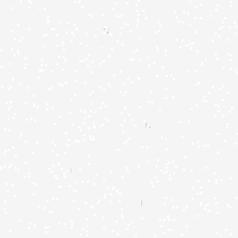 COCCN(CCOC)Cc1ccc(N)cc1